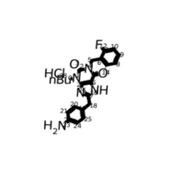 CCCCn1c(=O)n(Cc2ccccc2F)c(=O)c2[nH]c(Cc3ccc(N)cc3)nc21.Cl